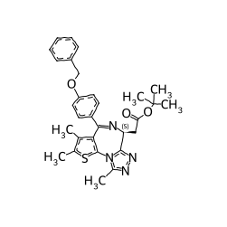 Cc1sc2c(c1C)C(c1ccc(OCc3ccccc3)cc1)=N[C@@H](CC(=O)OC(C)(C)C)c1nnc(C)n1-2